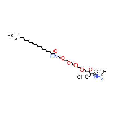 N[C@H](C(=O)O)C(C[C]=O)C(=O)CCOCCOCCOCCOCCNC(=O)CCCCCCCCCCCCCCCC(=O)O